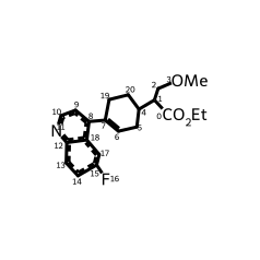 CCOC(=O)C(COC)C1CC=C(c2ccnc3ccc(F)cc23)CC1